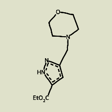 CCOC(=O)c1cc(CN2CCOCC2)n[nH]1